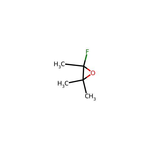 CC1(C)OC1(C)F